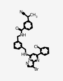 CC(C#N)c1cccc(C(=O)NCc2cccc(CNc3cc(-c4ccccc4Cl)nc4c(Br)cnn34)c2)c1